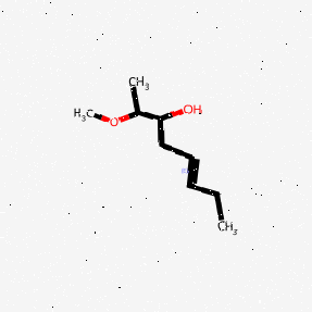 C[CH]/C=C/CC(O)C(C)OC